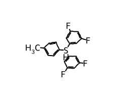 Cc1ccc([SH](c2cc(F)cc(F)c2)c2cc(F)cc(F)c2)cc1